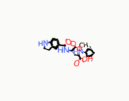 COC(=O)[C@H](CC(Nc1ccccc1)C(=O)O)NC(=O)c1ccc2c(c1)CCN2